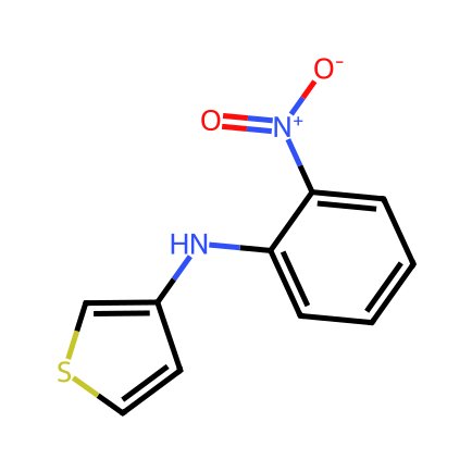 O=[N+]([O-])c1ccccc1Nc1ccsc1